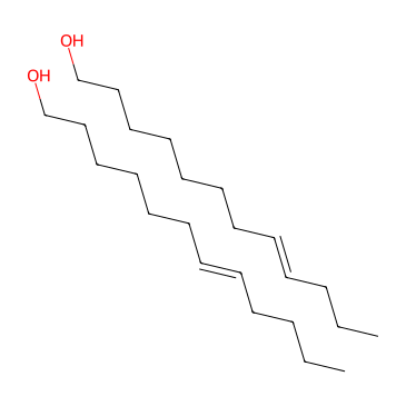 CCCC=CCCCCCCCO.CCCCC=CCCCCCCO